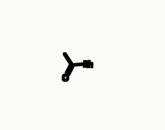 C[C](=O)[Rh]